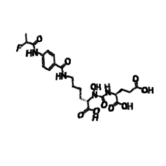 CC(F)C(=O)Nc1ccc(C(=O)NCCCC[C@@H](C(=O)O)N(O)C(=O)N[C@@H](CCC(=O)O)C(=O)O)cc1